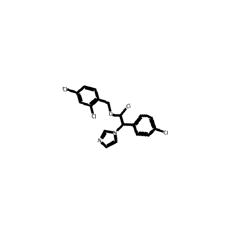 Clc1ccc(C(C(Cl)OCc2ccc(Cl)cc2Cl)n2ccnc2)cc1